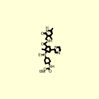 CCN(c1cc(-c2cnccn2)cc(C(=O)NCc2c(C)cc(C)[nH]c2=O)c1C)C1CCC(NC(=O)OC(C)(C)C)CC1